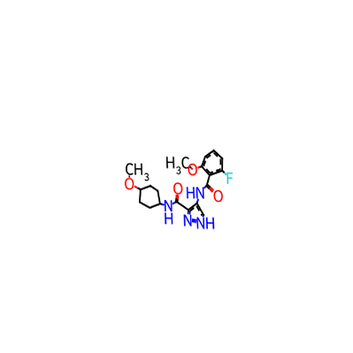 COc1cccc(F)c1C(=O)Nc1c[nH]nc1C(=O)NC1CCC(OC)CC1